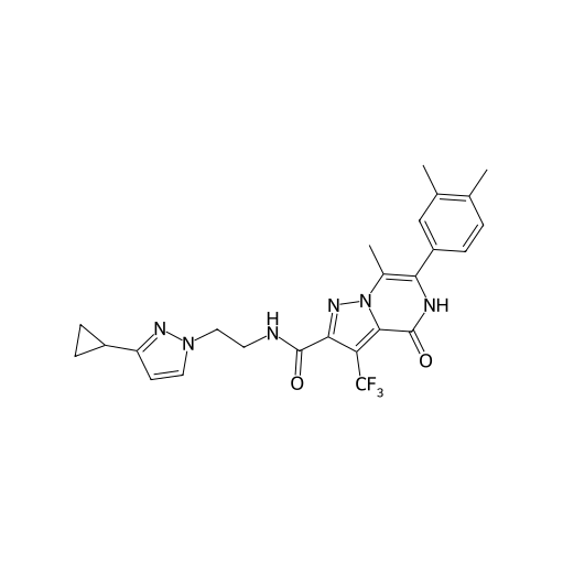 Cc1ccc(-c2[nH]c(=O)c3c(C(F)(F)F)c(C(=O)NCCn4ccc(C5CC5)n4)nn3c2C)cc1C